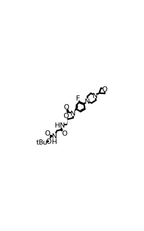 CC(C)(C)OC(=O)NCC(=O)NC[C@H]1CN(c2ccc(N3CCN(C4COC4)CC3)c(F)c2)C(=O)O1